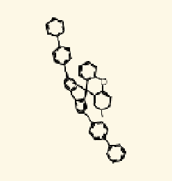 CC1C=C2C(=CC1)Oc1ccccc1C21c2cc(-c3ccc(-c4ccccc4)cc3)ccc2-c2ccc(-c3ccc(-c4ccccc4)cc3)cc21